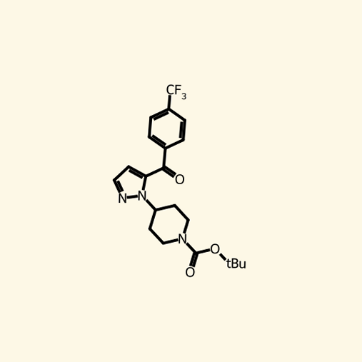 CC(C)(C)OC(=O)N1CCC(n2nccc2C(=O)c2ccc(C(F)(F)F)cc2)CC1